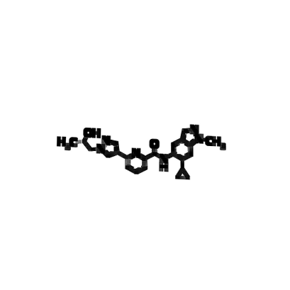 C[C@H](O)Cn1cc(-c2cccc(C(=O)Nc3cc4cnn(C)c4cc3C3CC3)n2)cn1